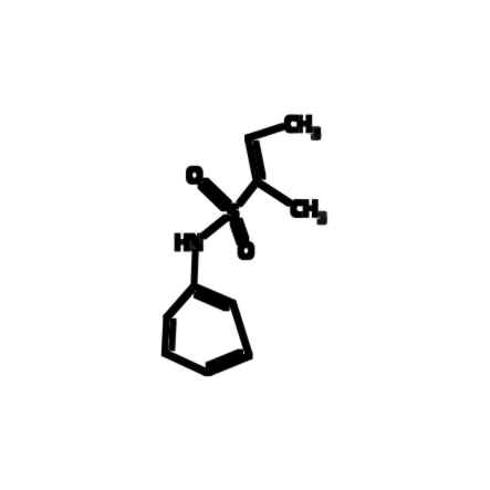 CC=C(C)S(=O)(=O)Nc1ccccc1